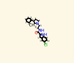 Cc1ccccc1C1CCN(CCNC(=O)c2cc3cc(Cl)ccc3[nH]2)C1